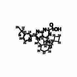 C[C@@H](Nc1nc(C(=O)O)nc2nc(-c3cc(C(C)(C)C)ccn3)n(CC3CCCCC3)c12)C1CCC1